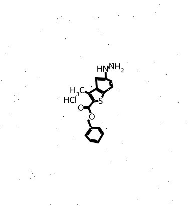 Cc1c(C(=O)OCc2ccccc2)sc2ccc(NN)cc12.Cl